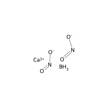 B.O=N[O-].O=N[O-].[Ca+2]